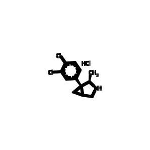 C[C@H]1NCC2C[C@@]21c1ccc(Cl)c(Cl)c1.Cl